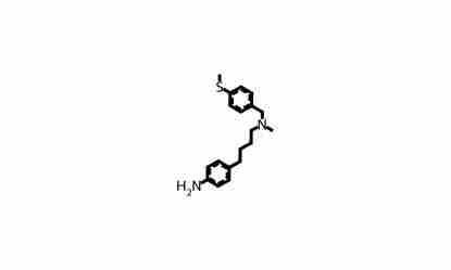 CSc1ccc(CN(C)CCCCc2ccc(N)cc2)cc1